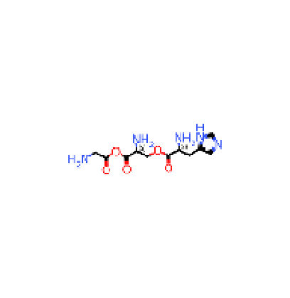 NCC(=O)OC(=O)[C@@H](N)COC(=O)[C@@H](N)Cc1cnc[nH]1